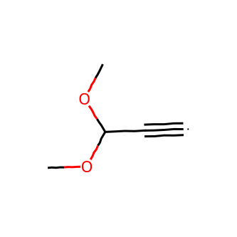 [C]#CC(OC)OC